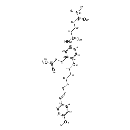 COc1ccc(/C=C/CCCCCOc2ccc(NC(=O)CCCC(=O)N(C)C)cc2CCC(=O)O)cc1